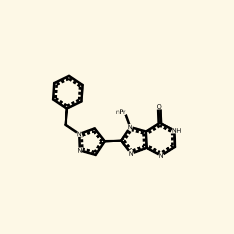 CCCn1c(-c2cnn(Cc3ccccc3)c2)nc2nc[nH]c(=O)c21